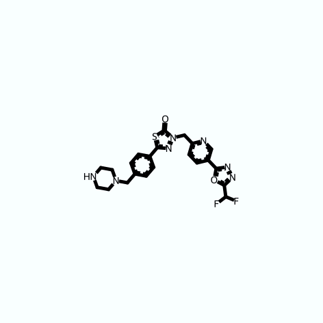 O=c1sc(-c2ccc(CN3CCNCC3)cc2)nn1Cc1ccc(-c2nnc(C(F)F)o2)cn1